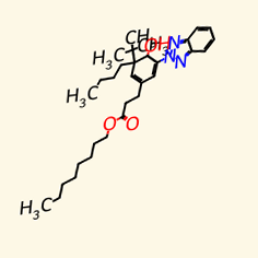 CCCCCCCCOC(=O)CCC1=CC(CCCC)(C(C)(C)C)C(O)C(n2nc3ccccc3n2)=C1